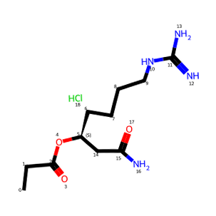 CCC(=O)O[C@@H](CCCCNC(=N)N)CC(N)=O.Cl